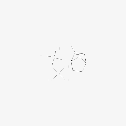 C[Si](C)(C)O[Si](C)(C)C.OC1=CC2CCC1C2